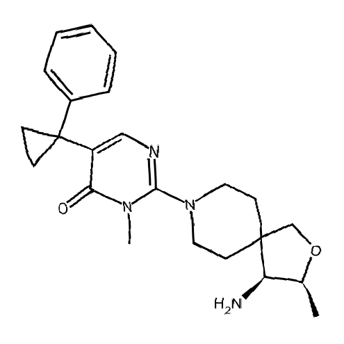 C[C@@H]1OCC2(CCN(c3ncc(C4(c5ccccc5)CC4)c(=O)n3C)CC2)[C@@H]1N